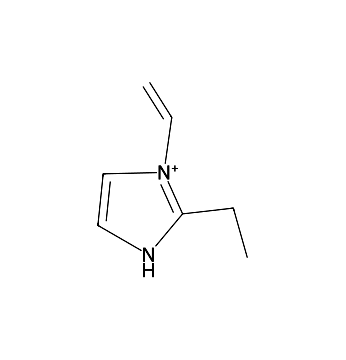 C=C[n+]1cc[nH]c1CC